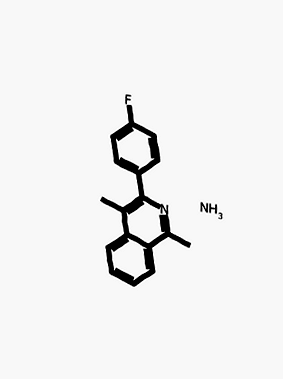 Cc1nc(-c2ccc(F)cc2)c(C)c2ccccc12.N